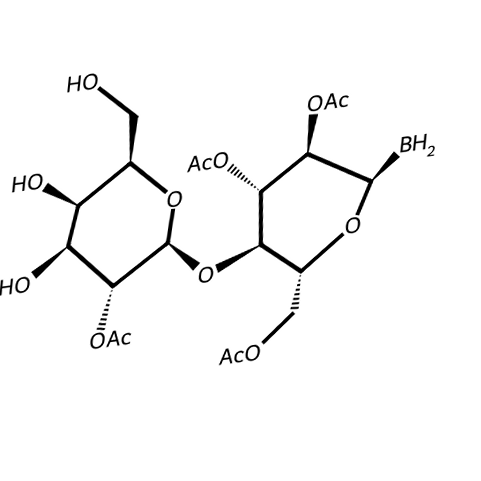 B[C@H]1O[C@H](COC(C)=O)[C@@H](O[C@@H]2O[C@H](CO)[C@H](O)[C@H](O)[C@H]2OC(C)=O)[C@H](OC(C)=O)[C@H]1OC(C)=O